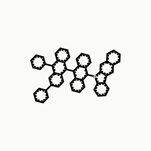 c1ccc(-c2ccc3c(-c4c5ccccc5c(-n5c6ccccc6c6cc7ccccc7cc65)c5ccccc45)c4ccccc4c(-c4ccccc4)c3c2)cc1